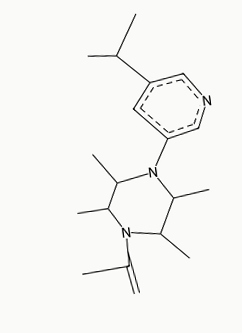 C=C(C)N1C(C)C(C)N(c2cncc(C(C)C)c2)C(C)C1C